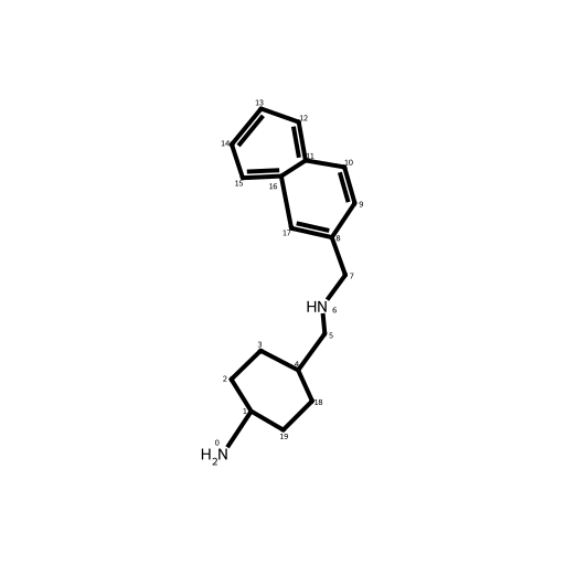 NC1CCC(CNCc2ccc3ccccc3c2)CC1